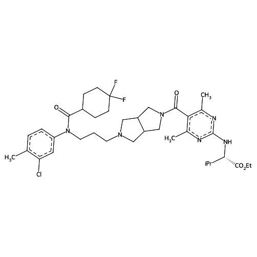 CCOC(=O)[C@@H](Nc1nc(C)c(C(=O)N2CC3CN(CCCN(C(=O)C4CCC(F)(F)CC4)c4ccc(C)c(Cl)c4)CC3C2)c(C)n1)C(C)C